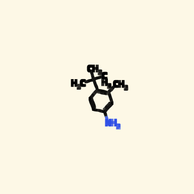 Cc1cc(N)ccc1C(C)(C)C